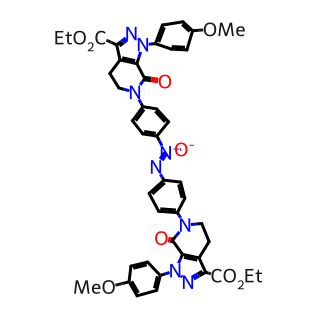 CCOC(=O)c1nn(-c2ccc(OC)cc2)c2c1CCN(c1ccc(N=[N+]([O-])c3ccc(N4CCc5c(C(=O)OCC)nn(-c6ccc(OC)cc6)c5C4=O)cc3)cc1)C2=O